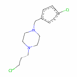 ClCCCN1CCN(Cc2ccc(Cl)cc2)CC1